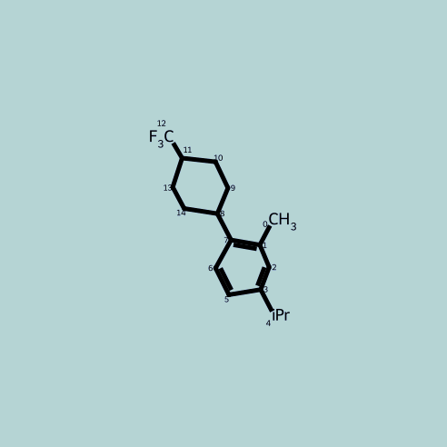 Cc1cc(C(C)C)ccc1C1CCC(C(F)(F)F)CC1